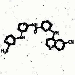 N#Cc1ccc2nccc(Nc3cccc(C(=O)Nc4cccc(Nc5ccnc(N)c5)c4)c3)c2c1